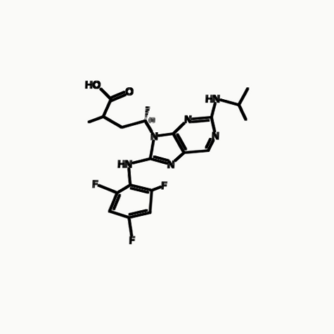 CC(C)Nc1ncc2nc(Nc3c(F)cc(F)cc3F)n([C@@H](C)CC(C)C(=O)O)c2n1